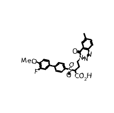 COc1ccc(-c2ccc(S(=O)(=O)C(CCn3nnc4ccc(C)cc4c3=O)C(=O)O)cc2)cc1F